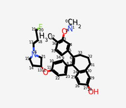 C=NOc1cc(C2=C(c3ccc(O[C@H]4CCN(CCCF)C4)cc3)c3ccc(O)cc3CCC2)ccc1C